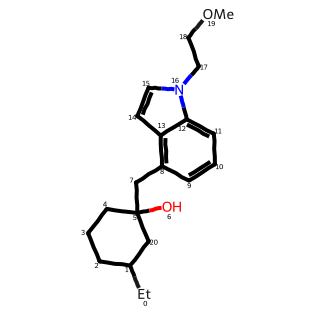 CCC1CCCC(O)(Cc2cccc3c2ccn3CCOC)C1